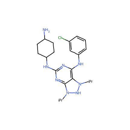 CC(C)N1NN(C(C)C)c2c(Nc3cccc(Cl)c3)nc(NC3CCC(N)CC3)nc21